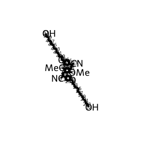 COc1cc(C=C(C#N)c2ccc(OCCCCCCCCCCCCO)cc2)c(OC)cc1C=C(C#N)c1ccc(OCCCCCCCCCCCCO)cc1